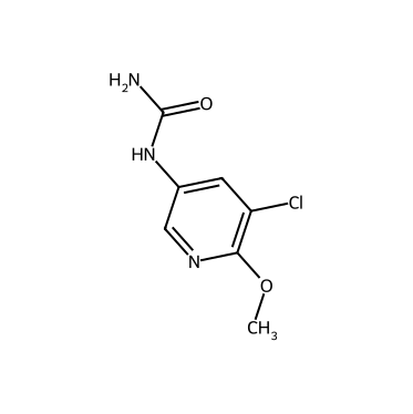 COc1ncc(NC(N)=O)cc1Cl